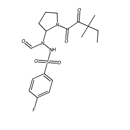 CCC(C)(C)C(=O)C(=O)N1CCCC1N(C=O)NS(=O)(=O)c1ccc(F)cc1